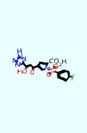 O=C(C=C(O)c1nn[nH]n1)c1cc(C(=O)O)n(S(=O)(=O)c2ccc(F)cc2)c1